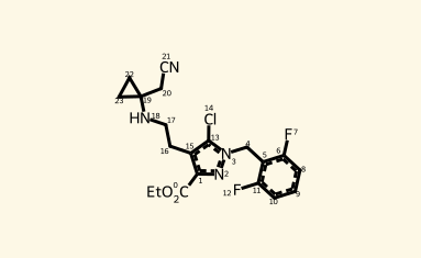 CCOC(=O)c1nn(Cc2c(F)cccc2F)c(Cl)c1CCNC1(CC#N)CC1